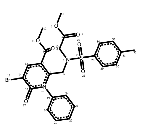 COC(=O)CN(Cc1c(C(=O)OC)cc(Br)c(=O)n1-c1ccccc1)S(=O)(=O)c1ccc(C)cc1